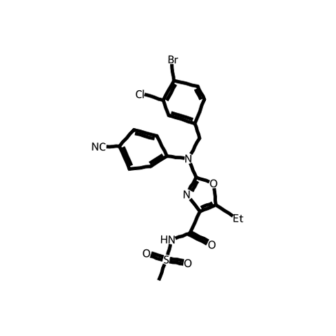 CCc1oc(N(Cc2ccc(Br)c(Cl)c2)c2ccc(C#N)cc2)nc1C(=O)NS(C)(=O)=O